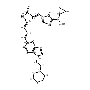 O=CN(c1ncc(/C=c2\sc(=CN=Nc3ccc4c(ccn4CCN4CCCCC4)c3)[nH]c2=O)s1)C1CC1